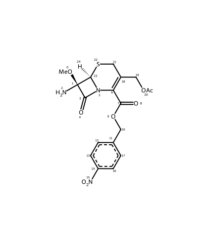 CO[C@]1(N)C(=O)N2C(C(=O)OCc3ccc([N+](=O)[O-])cc3)=C(COC(C)=O)CS[C@@H]21